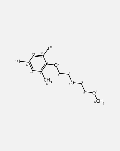 COCCOCCOc1c(C)cc(I)cc1I